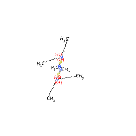 CCCCCCCCCCCCC(O)CN(CCSSCCN1CC(C)N(CCSSCCN(CC(O)CCCCCCCCCCCC)CC(O)CCCCCCCCCCCC)CC1C)CC(O)CCCCCCCCCCCC